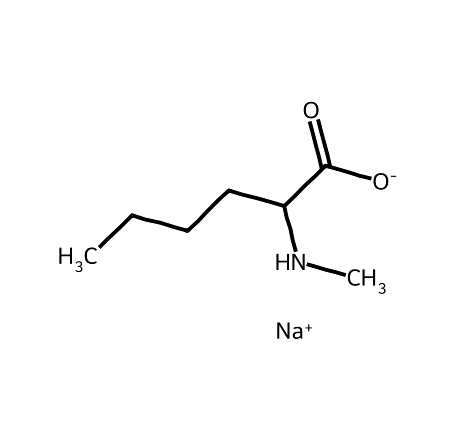 CCCCC(NC)C(=O)[O-].[Na+]